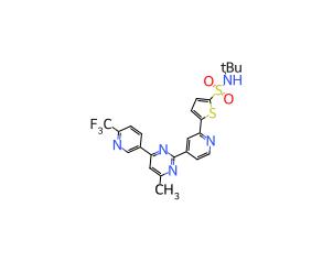 Cc1cc(-c2ccc(C(F)(F)F)nc2)nc(-c2ccnc(-c3ccc(S(=O)(=O)NC(C)(C)C)s3)c2)n1